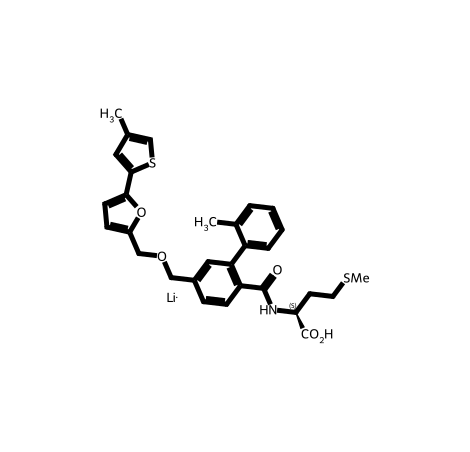 CSCC[C@H](NC(=O)c1ccc(COCc2ccc(-c3cc(C)cs3)o2)cc1-c1ccccc1C)C(=O)O.[Li]